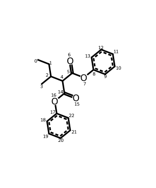 CCC(C)C(C(=O)Oc1ccccc1)C(=O)Oc1ccccc1